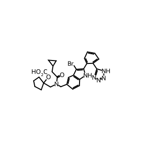 O=C(O)OC1(CN(Cc2ccc3[nH]c(-c4ccccc4-c4nnn[nH]4)c(Br)c3c2)C(=O)CC2CC2)CCCC1